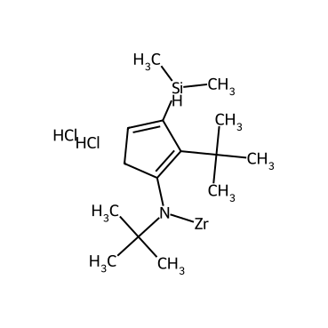 C[SiH](C)C1=CCC([N]([Zr])C(C)(C)C)=C1C(C)(C)C.Cl.Cl